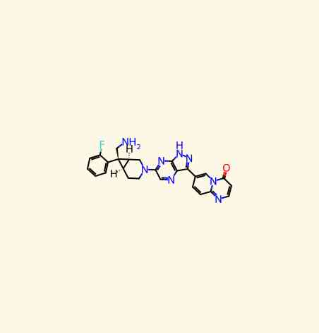 NC[C@]1(c2ccccc2F)[C@@H]2CCN(c3cnc4c(-c5ccc6nccc(=O)n6c5)n[nH]c4n3)C[C@@H]21